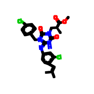 COC(=O)[C@@H](C)Cn1c(=O)[nH]/c(=N\c2ccc(C=C(C)C)c(Cl)c2)n(Cc2ccc(Cl)cc2)c1=O